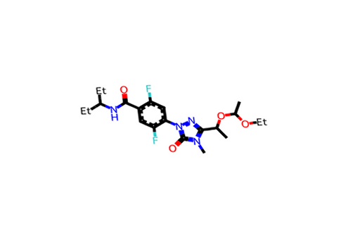 CCOC(C)OC(C)c1nn(-c2cc(F)c(C(=O)NC(CC)CC)cc2F)c(=O)n1C